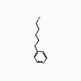 BrCCCCCc1ccncc1